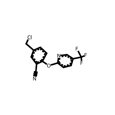 N#Cc1cc(CCl)ccc1Oc1ccc(C(F)(F)F)cn1